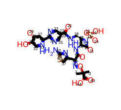 CC(C)(O/N=C(\C(=O)N[C@@H]1C(=O)N(S(=O)(=O)O)[C@@H]1CNC(=O)c1cnc(-c2cc(=O)c(O)c[nH]2)nc1)c1csc(N)n1)C(=O)O